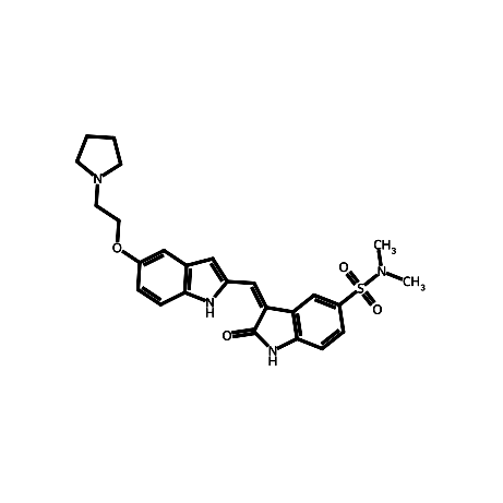 CN(C)S(=O)(=O)c1ccc2c(c1)C(=Cc1cc3cc(OCCN4CCCC4)ccc3[nH]1)C(=O)N2